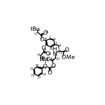 COC(=O)[C@H](Cc1ccc(OC(=O)CC(C)(C)C)c(OC(=O)CC(C)(C)C)c1)NCC(C)OC(=O)Oc1ccccc1